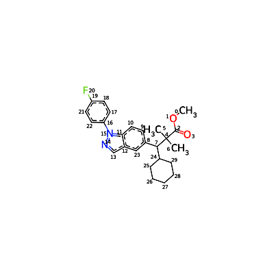 COC(=O)C(C)(C)C(c1ccc2c(cnn2-c2ccc(F)cc2)c1)C1CCCCC1